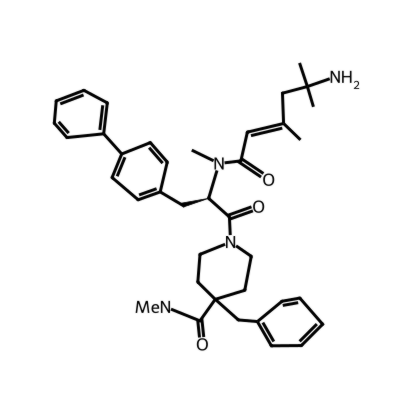 CNC(=O)C1(Cc2ccccc2)CCN(C(=O)[C@@H](Cc2ccc(-c3ccccc3)cc2)N(C)C(=O)C=C(C)CC(C)(C)N)CC1